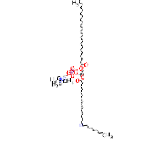 CCCCCCCC/C=C\CCCCCCCCCCCCCC(=O)O[C@H](COC(=O)CCCCCCCCCCCCCCCCCCCCC)COP(=O)([O-])OCC[N+](C)(C)C